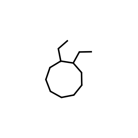 CC[C]1CCCCCCCC1CC